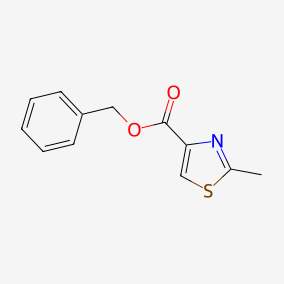 Cc1nc(C(=O)OCc2ccccc2)cs1